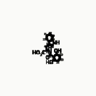 O=C(N[C@H](Cc1c[nH]c2ccccc12)C(=O)O)c1c(O)cccc1O